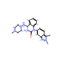 Cc1c2ccc(N(C(N)=O)c3ccccc3CNN3CCN(C)CC3)cc2nn1C